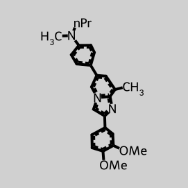 CCCN(C)c1ccc(-c2cc(C)c3nc(-c4ccc(OC)c(OC)c4)cn3c2)cc1